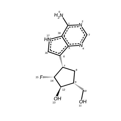 Nc1ncnc2c([C@@H]3C[C@H](CO)[C@@H](O)[C@@H]3F)c[nH]c12